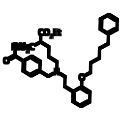 CCOC(=O)C(CCCN(CCc1ccccc1OCCCCCc1ccccc1)Cc1ccc(C(=O)OC)cc1)C(=O)OCC